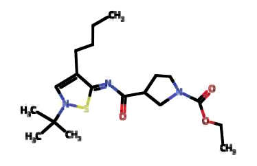 CCCCc1cn(C(C)(C)C)sc1=NC(=O)C1CCN(C(=O)OCC)C1